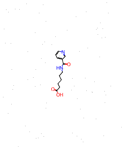 O=C(O)CCCCCNC(=O)c1cccnc1